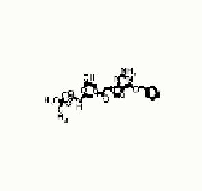 CC(C)(C)OC(=O)NCCN(CC(=O)O)C(=O)Cn1cnc2c(OCc3ccccc3)nc(N)nc21